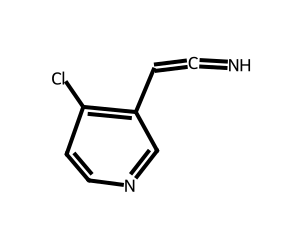 N=C=Cc1cnccc1Cl